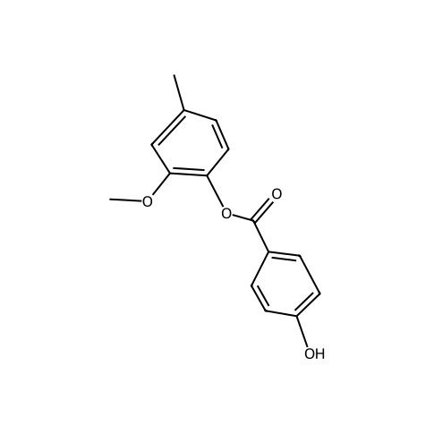 COc1cc(C)ccc1OC(=O)c1ccc(O)cc1